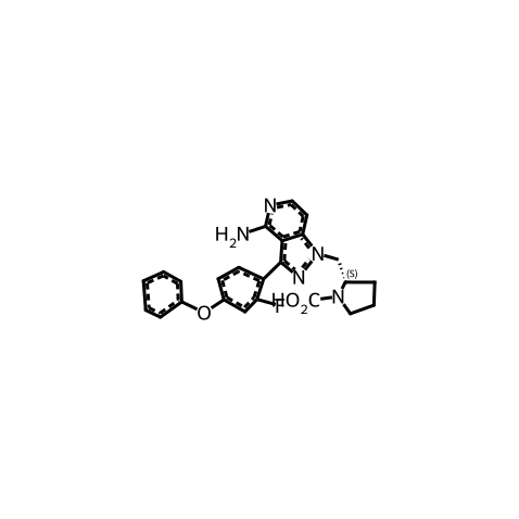 Nc1nccc2c1c(-c1ccc(Oc3ccccc3)cc1F)nn2C[C@@H]1CCCN1C(=O)O